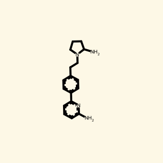 Nc1cccc(-c2ccc(CCN3CCCC3N)cc2)n1